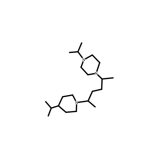 CC(C)C1CCN(C(C)CCC(C)N2CCN(C(C)C)CC2)CC1